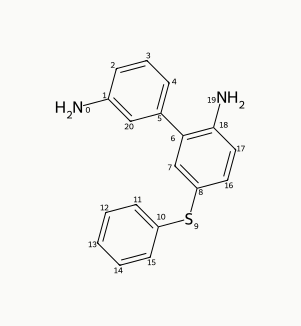 Nc1cccc(-c2cc(Sc3ccccc3)ccc2N)c1